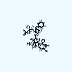 CC(C)OC(=O)[C@H](C)NP(=O)(OC[C@H]1O[C@@H](n2ccc(=S)[nH]c2=O)[C@@](O)(CF)C1F)Oc1ccccc1